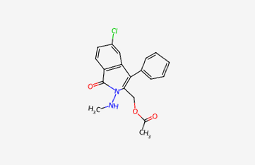 CNn1c(COC(C)=O)c(-c2ccccc2)c2cc(Cl)ccc2c1=O